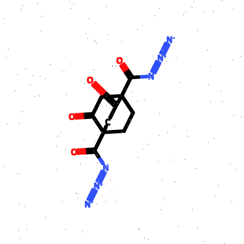 [N-]=[N+]=NC(=O)C12CCC(C(=O)N=[N+]=[N-])(CC1=O)C(=O)C2